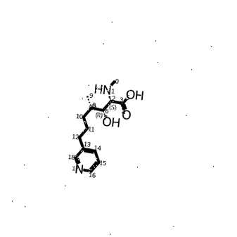 CN[C@H](C(=O)O)[C@H](O)[C@@H](C)CCCc1cccnc1